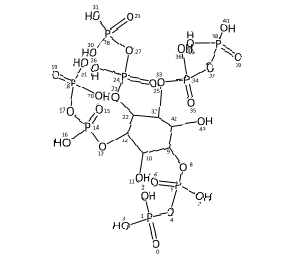 O=P(O)(O)OP(=O)(O)OC1C(O)C(OP(=O)(O)OP(=O)(O)O)C(OP(=O)(O)OP(=O)(O)O)C(OP(=O)(O)OP(=O)(O)O)C1O